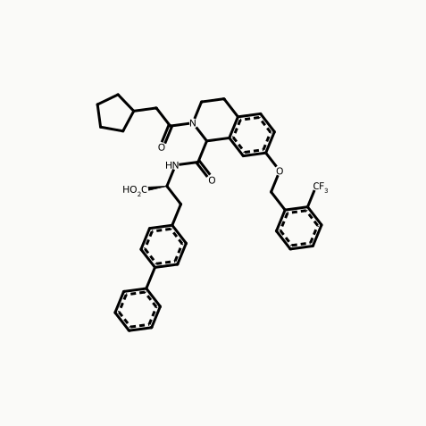 O=C(N[C@@H](Cc1ccc(-c2ccccc2)cc1)C(=O)O)C1c2cc(OCc3ccccc3C(F)(F)F)ccc2CCN1C(=O)CC1CCCC1